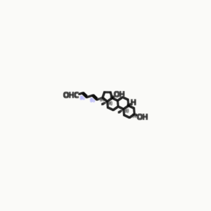 C[C@]12CC[C@H](O)C[C@H]1CCC1C2CC[C@]2(C)[C@@H](/C=C/C=C/C=O)CC[C@]12O